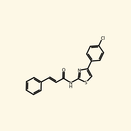 O=C(C=Cc1ccccc1)Nc1nc(-c2ccc(Cl)cc2)cs1